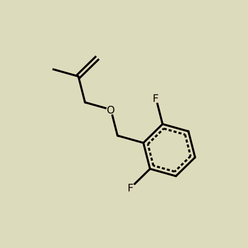 C=C(C)COCc1c(F)cccc1F